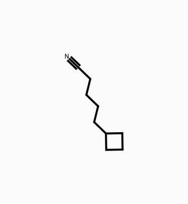 N#CCCCCC1CCC1